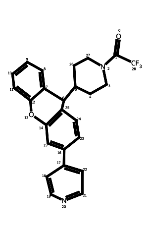 O=C(N1CCC(C2c3ccccc3Oc3cc(-c4ccncc4)ccc32)CC1)C(F)(F)F